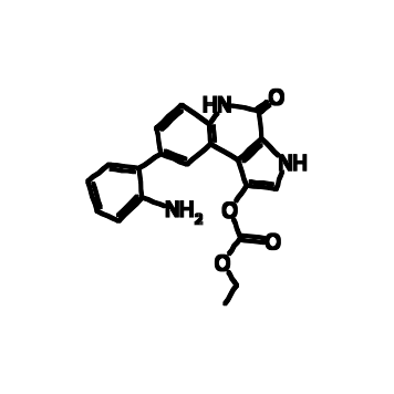 CCOC(=O)Oc1c[nH]c2c(=O)[nH]c3ccc(-c4ccccc4N)cc3c12